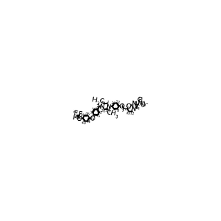 C[C@@H]1CN(c2ccc(OC[C@@H]3CCn4cc([N+](=O)[O-])nc4O3)cc2)[C@@H](C)CN1Cc1ccc(Oc2ccc(OC(F)(F)F)cc2)cc1